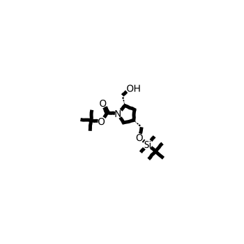 CC(C)(C)OC(=O)N1C[C@@H](CO[Si](C)(C)C(C)(C)C)C[C@H]1CO